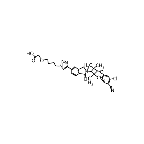 CC1(C)C(Oc2ccc(C#N)c(Cl)c2)C(C)(C)C1N1Cc2cc(-c3cn(CCCCOCC(=O)O)nn3)ccc2C1=O